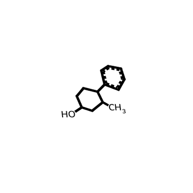 CC1CC(O)CCC1c1ccccc1